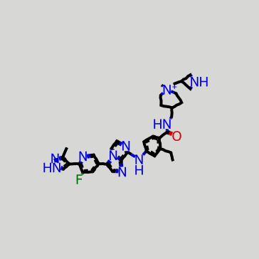 CCc1cc(Nc2nccn3c(-c4cnc(-c5c[nH]nc5C)c(F)c4)cnc23)ccc1C(=O)NCC1CC[N+](C)(CC2CNC2)CC1